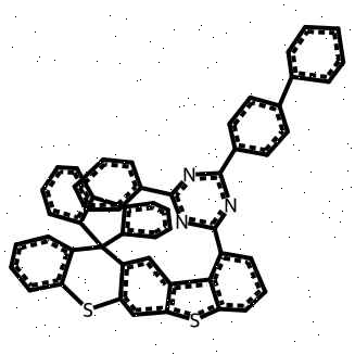 c1ccc(-c2ccc(-c3nc(-c4ccccc4)nc(-c4cccc5sc6cc7c(cc6c45)C4(c5ccccc5S7)c5ccccc5-c5ccccc54)n3)cc2)cc1